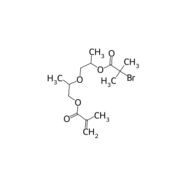 C=C(C)C(=O)OCC(C)OCC(C)OC(=O)C(C)(C)Br